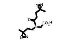 CC1(CCC(=O)N(CCC2(C)N=N2)CC(=O)O)N=N1